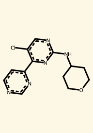 Clc1cnc(NC2CCOCC2)nc1-c1ccncn1